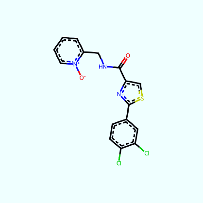 O=C(NCc1cccc[n+]1[O-])c1csc(-c2ccc(Cl)c(Cl)c2)n1